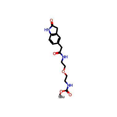 CC(C)(C)OC(=O)NCCOCCNC(=O)Cc1ccc2c(c1)CC(=O)N2